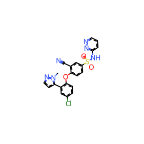 Cn1nccc1-c1cc(Cl)ccc1Oc1ccc(S(=O)(=O)Nc2cccnn2)cc1C#N